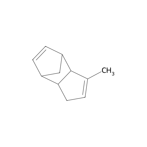 CC1=CCC2C3C=CC(C3)C12